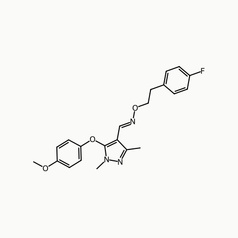 COc1ccc(Oc2c(C=NOCCc3ccc(F)cc3)c(C)nn2C)cc1